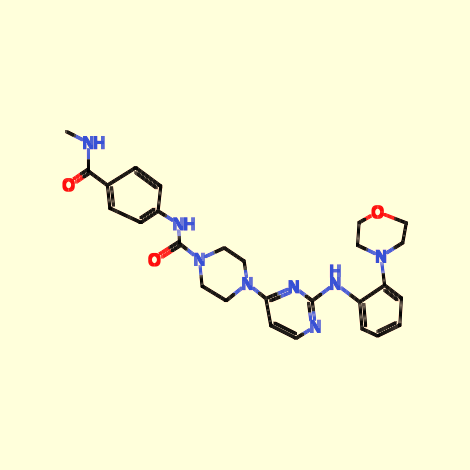 CNC(=O)c1ccc(NC(=O)N2CCN(c3ccnc(Nc4ccccc4N4CCOCC4)n3)CC2)cc1